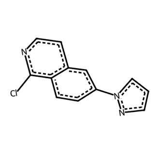 Clc1nccc2cc(-n3cccn3)ccc12